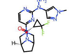 Cn1cc(N(N)c2nccc(N3CC4CC[C@@H](C3)N4C(=O)[C@@H]3CC3(F)F)n2)cn1